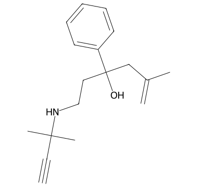 C#CC(C)(C)NCCC(O)(CC(=C)C)c1ccccc1